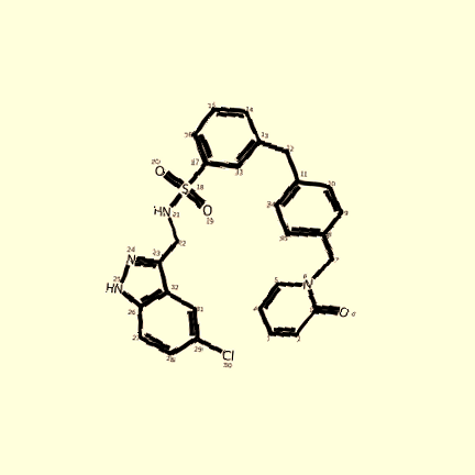 O=c1ccccn1Cc1ccc(Cc2cccc(S(=O)(=O)NCc3n[nH]c4ccc(Cl)cc34)c2)cc1